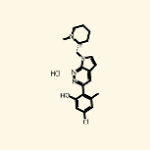 Cc1cc(Cl)cc(O)c1-c1cc2ccn(C[C@H]3CCCCN3C)c2nn1.Cl